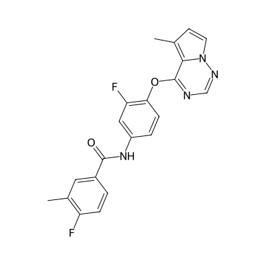 Cc1cc(C(=O)Nc2ccc(Oc3ncnn4ccc(C)c34)c(F)c2)ccc1F